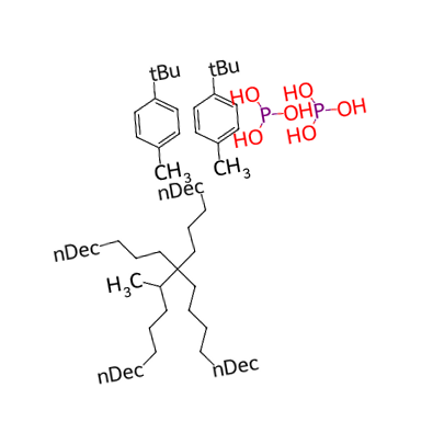 CCCCCCCCCCCCCCC(CCCCCCCCCCCCC)(CCCCCCCCCCCCC)C(C)CCCCCCCCCCCCC.Cc1ccc(C(C)(C)C)cc1.Cc1ccc(C(C)(C)C)cc1.OP(O)O.OP(O)O